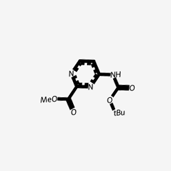 COC(=O)c1nccc(NC(=O)OC(C)(C)C)n1